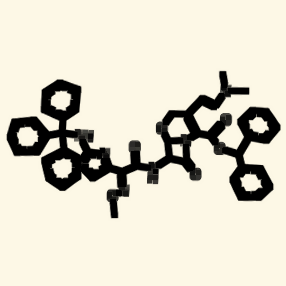 CON=C(C(=O)NC1C(=O)N2C(C(=O)OC(c3ccccc3)c3ccccc3)=C(C=CN(C)C)COC12)c1csc(NC(c2ccccc2)(c2ccccc2)c2ccccc2)n1